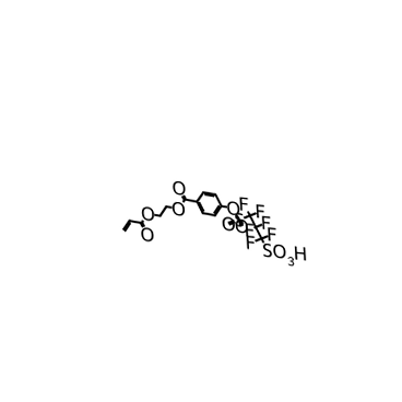 C=CC(=O)OCCOC(=O)c1ccc(OS(=O)(=O)C(F)(F)C(F)(F)C(F)(F)S(=O)(=O)O)cc1